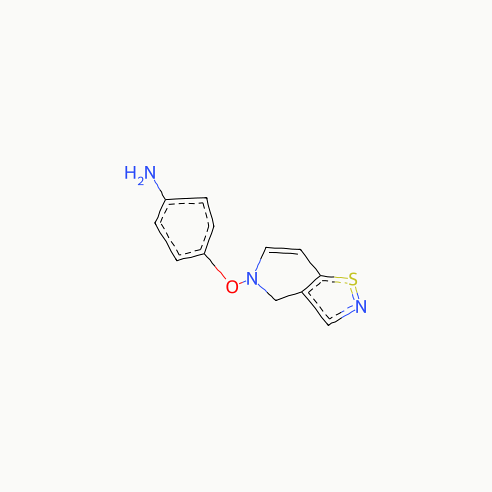 Nc1ccc(ON2C=Cc3sncc3C2)cc1